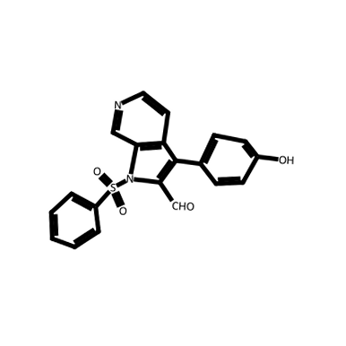 O=Cc1c(-c2ccc(O)cc2)c2ccncc2n1S(=O)(=O)c1ccccc1